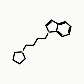 c1ccc2c(c1)ccn2CCCCN1CCCC1